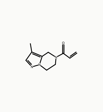 C=CC(=O)N1CCn2ncc(C)c2C1